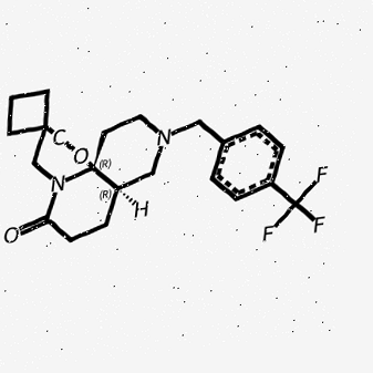 O=C1CC[C@@H]2CN(Cc3ccc(C(F)(F)F)cc3)CC[C@@]23OCC2(CCC2)CN13